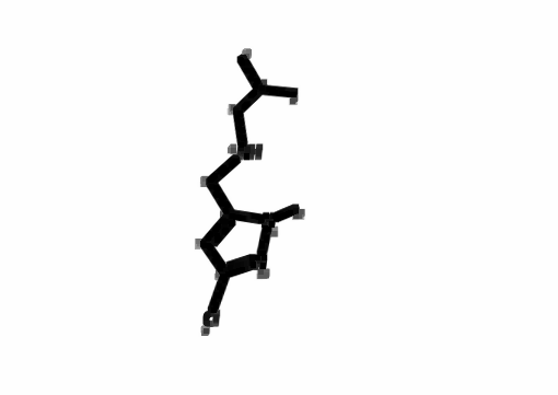 CC(C)CNCc1cc(Cl)nn1C